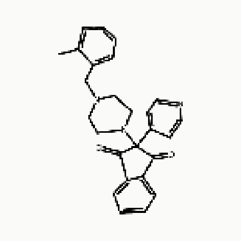 Cc1ccccc1CN1CCN(C2(c3ccncc3)C(=O)c3ccccc3C2=O)CC1